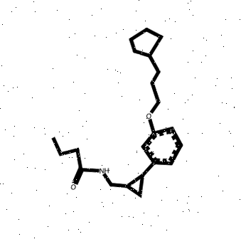 CCCC(=O)NCC1CC1c1cccc(OCCCC2CCCC2)c1